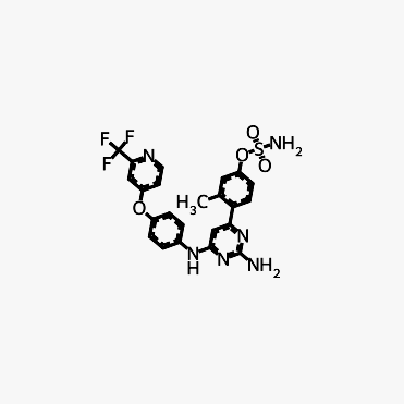 Cc1cc(OS(N)(=O)=O)ccc1-c1cc(Nc2ccc(Oc3ccnc(C(F)(F)F)c3)cc2)nc(N)n1